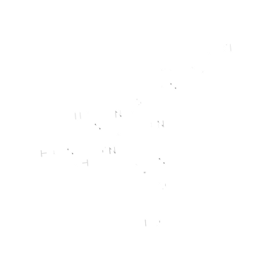 [C-]#[N+]c1c(N(C)CCN(C)C)nc(SCc2csc(-c3ccc(Cl)cc3)n2)c(C#N)c1-c1ccc(OCCO)nc1